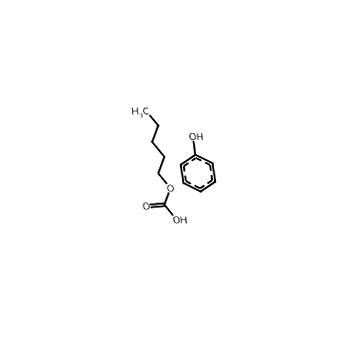 CCCCCOC(=O)O.Oc1ccccc1